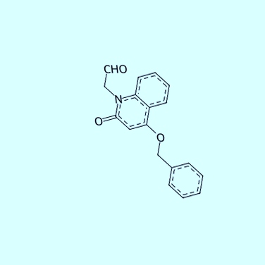 O=CCn1c(=O)cc(OCc2ccccc2)c2ccccc21